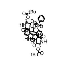 CC(C)(C)C(=O)OC[C@@H]1NC(=O)[C@@H]2C[C@]3(C45C[C@H]6C(=O)N[C@@H](COC(=O)C(C)(C)C)C(=O)N6[C@H]4N(S(=O)(=O)c4ccccc4)c4ccccc45)c4ccccc4N[C@@H]3N2C1=O